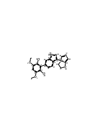 COc1cc(OC)c(Cl)c(-c2ccc3c([N+]45C=NC=C4OCC5)n[nH]c3c2)c1Cl